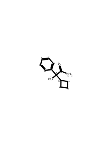 NC(=O)C(O)(c1ccccc1)C1CCC1